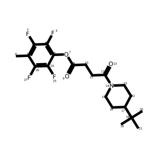 Cc1c(F)c(F)c(OC(=O)CCC(=O)N2CCC(C(C)(C)C)CC2)c(F)c1F